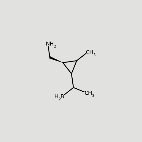 BC(C)C1C(C)[C@@H]1CN